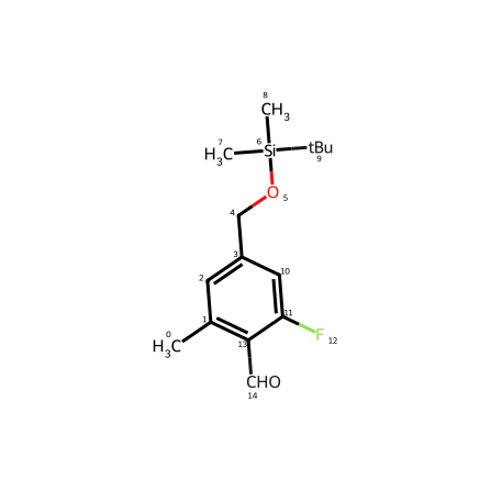 Cc1cc(CO[Si](C)(C)C(C)(C)C)cc(F)c1C=O